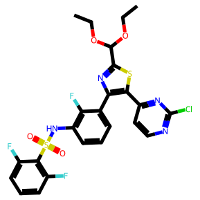 CCOC(OCC)c1nc(-c2cccc(NS(=O)(=O)c3c(F)cccc3F)c2F)c(-c2ccnc(Cl)n2)s1